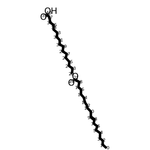 CCCCCCCCC=CCCCCCCCCCC(=O)OCCCCCCCCCCCCCCCCC(=O)O